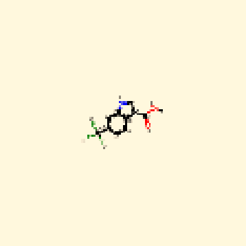 COC(=O)c1c[nH]c2cc(C(F)(F)F)ccc12